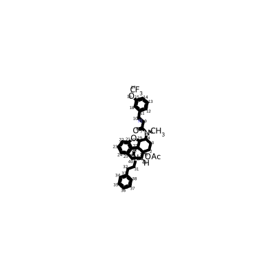 CC(=O)O[C@@]12CCC(N(C)C(=O)/C=C/c3cccc(OC(F)(F)F)c3)C3Oc4cccc5c4[C@@]31CCN(CCc1ccccc1)[C@@H]2C5